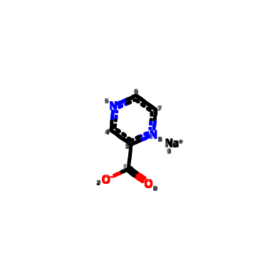 O=C([O-])c1cnccn1.[Na+]